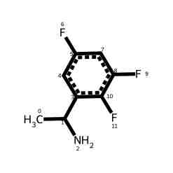 CC(N)c1cc(F)cc(F)c1F